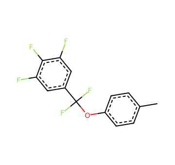 Cc1ccc(OC(F)(F)c2cc(F)c(F)c(F)c2)cc1